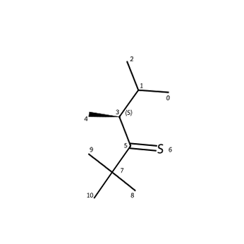 CC(C)[C@H](C)C(=S)C(C)(C)C